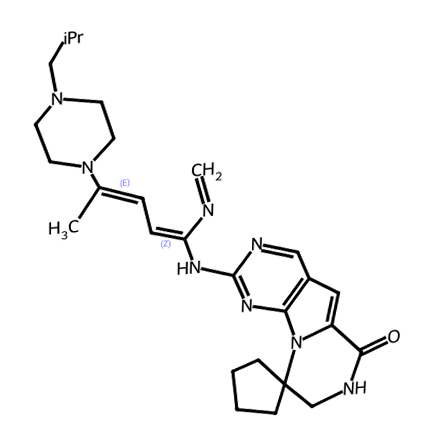 C=N/C(=C\C=C(/C)N1CCN(CC(C)C)CC1)Nc1ncc2cc3n(c2n1)C1(CCCC1)CNC3=O